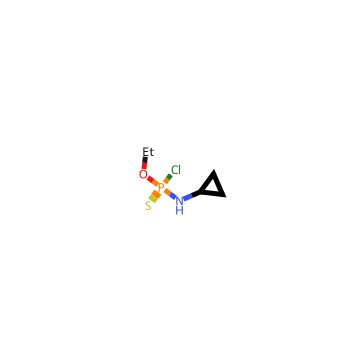 CCOP(=S)(Cl)NC1CC1